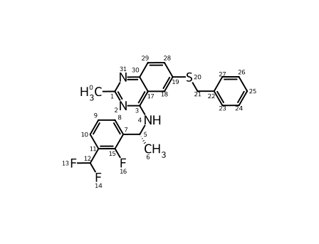 Cc1nc(N[C@H](C)c2cccc(C(F)F)c2F)c2cc(SCc3ccccc3)ccc2n1